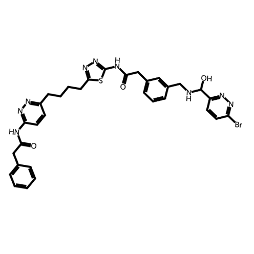 O=C(Cc1ccccc1)Nc1ccc(CCCCc2nnc(NC(=O)Cc3cccc(CNC(O)c4ccc(Br)nn4)c3)s2)nn1